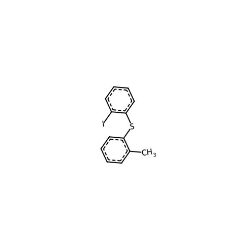 Cc1ccccc1Sc1ccccc1I